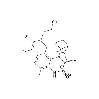 Cc1nc2c(F)c(Br)c(CCC#N)cc2c2c1NC(=O)CN2C1C2CC1N(C(=O)OC(C)(C)C)C2